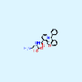 NCCC(NC(=O)C1=CC=CN(C(c2ccccc2)c2ccccc2)C1=C=O)C(=O)O